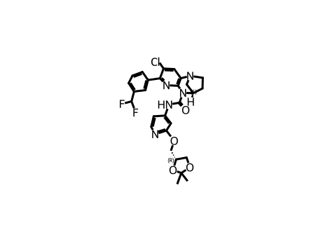 CC1(C)OC[C@@H](COc2cc(NC(=O)N3c4nc(-c5cccc(C(F)F)c5)c(Cl)cc4N4CC[C@H]3C4)ccn2)O1